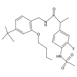 CCCCOc1cc(C(C)(C)C)ccc1CNC(=O)C(C)c1ccc(NS(C)(=O)=O)c(F)c1